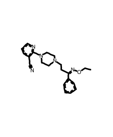 CCON=C(CCN1CCN(c2ncccc2C#N)CC1)c1ccccc1